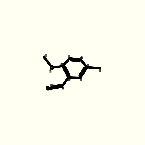 COc1ccc(C)cc1C=[Se]